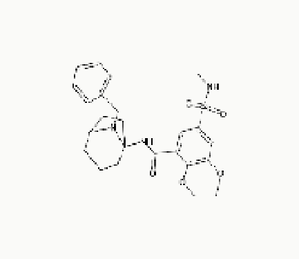 CNS(=O)(=O)c1cc2c(c(C(=O)NC34CCCC(CC3)N4Cc3ccccc3)c1)OCCO2